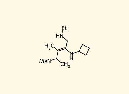 CCNC/C(NC1CCC1)=C(\C)C(C)NC